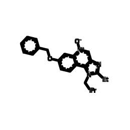 CCc1nc2c[n+]([O-])c3cc(OCc4ccccc4)ccc3c2n1CC(C)C